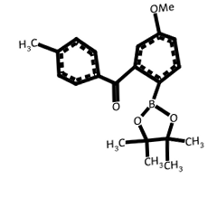 COc1ccc(B2OC(C)(C)C(C)(C)O2)c(C(=O)c2ccc(C)cc2)c1